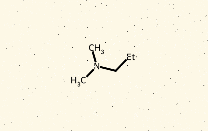 C[CH]CN(C)C